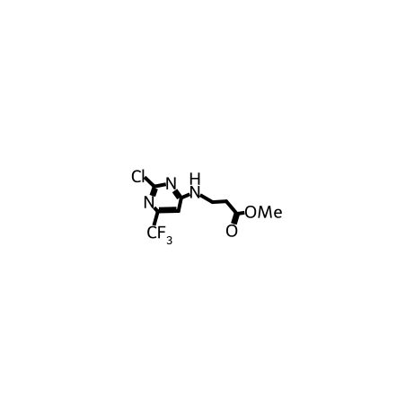 COC(=O)CCNc1cc(C(F)(F)F)nc(Cl)n1